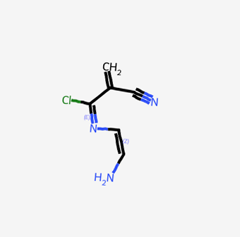 C=C(C#N)/C(Cl)=N\C=C/N